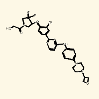 N#Cc1cc(-c2nccc(Nc3ccc(N4CCN(C5COC5)CC4)cc3)n2)ccc1OC1CN(C(=O)CO)CC1(F)F